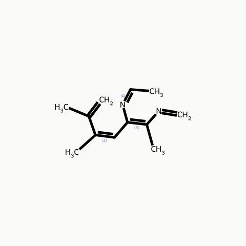 C=N/C(C)=C(/C=C(/C)C(=C)C)\N=C/C